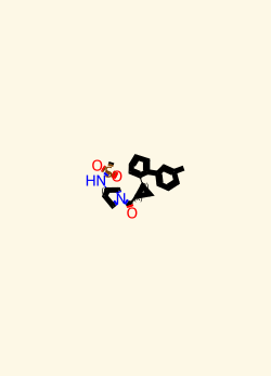 Cc1cccc(-c2ccccc2[C@@H]2C[C@H]2C(=O)N2CC[C@H](NS(C)(=O)=O)C2)c1